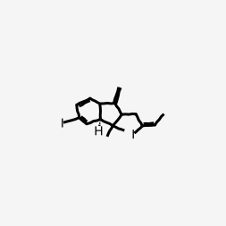 C=C1C2C=CC(I)=C[C@@H]2C(C)(C)C1C/C(I)=C\C